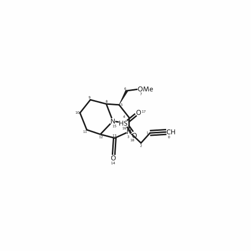 C#CCN1C[C@H](COC)C2CCCC(C1=O)N2[SH](=O)=O